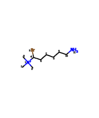 C[N+](C)(C)C(Br)CCCCCN